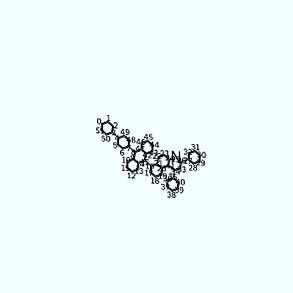 c1ccc(-c2ccc(-c3c4ccccc4c(-c4cccc5c4ccc4nc(-c6ccccc6)cc(-c6ccccc6)c45)c4ccccc34)cc2)cc1